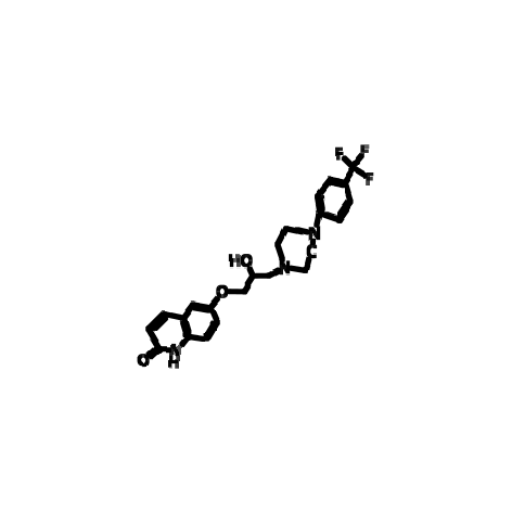 O=c1ccc2cc(OCC(O)CN3CCN(c4ccc(C(F)(F)F)cc4)CC3)ccc2[nH]1